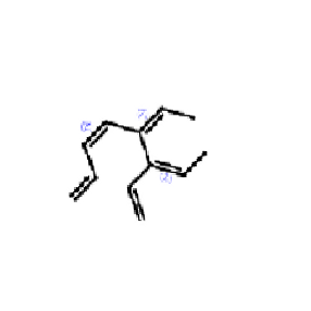 C=C\C=C/C(=C/C)C(/C=C)=C\C